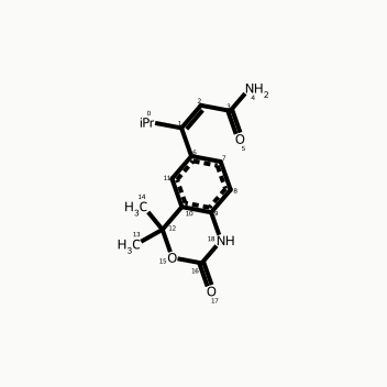 CC(C)/C(=C/C(N)=O)c1ccc2c(c1)C(C)(C)OC(=O)N2